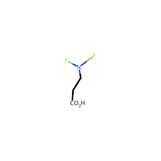 O=C(O)CCN(F)F